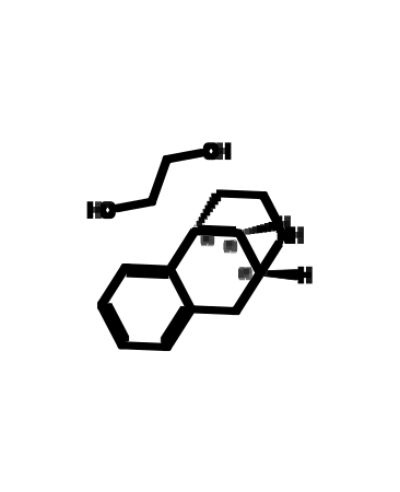 OCCO.c1ccc2c(c1)C[C@H]1NCC[C@@]23CCCC[C@@H]13